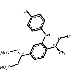 CCO[C@H](c1ccc([C@@H](COC)CC(=O)O)cc1Nc1ccc(Cl)cc1)C(F)(F)F